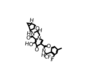 Cc1ccc([C@H](NC(=O)c2cn3c(c(O)c2=O)C(=O)N2[C@@H](C3)OC3C[C@H]2C2C[C@H]32)C(F)(F)F)c(F)c1